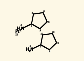 NC1CCCC1.NC1CCCC1.[Pt]